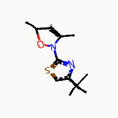 CC1=[C]C(C)ON1c1nc(C(C)(C)C)cs1